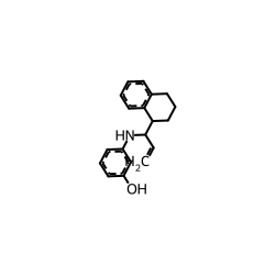 C=CC(Nc1cccc(O)c1)C1CCCc2ccccc21